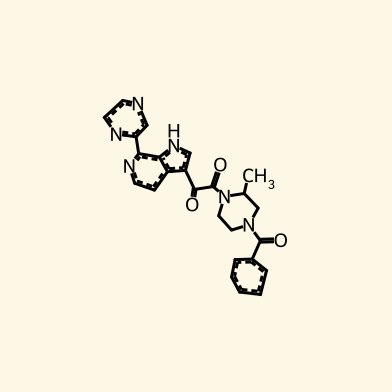 CC1CN(C(=O)c2ccccc2)CCN1C(=O)C(=O)c1c[nH]c2c(-c3cnccn3)nccc12